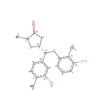 CC(C)N1C[C@@H](N(Cc2cccc(F)c2C(F)(F)F)c2ccc(C#N)c(Cl)c2)CC1=O